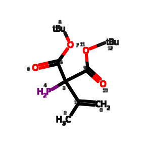 C=C(C)C(P)(C(=O)OC(C)(C)C)C(=O)OC(C)(C)C